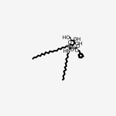 CCCCCCCCCCCCCCCCCCN(C(=O)NCCCCCCCCCCCCCC)[C@@H]1O[C@H](CO)[C@H](O)[C@H](O)[C@H]1NC(=O)OCc1ccccc1